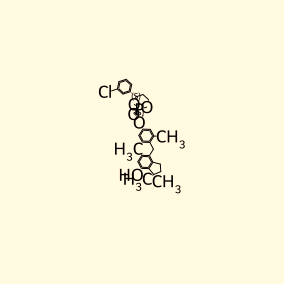 Cc1cc(OC[P@]2(=O)OCC[C@@H](c3cccc(Cl)c3)O2)cc(C)c1Cc1ccc(O)c2c1CCC2(C)C